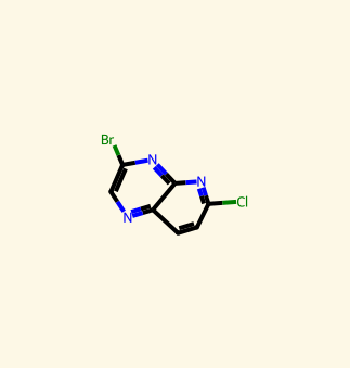 Clc1ccc2ncc(Br)nc2n1